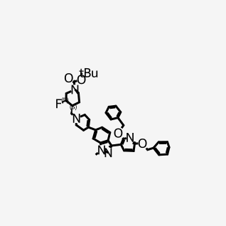 Cn1nc(-c2ccc(OCc3ccccc3)nc2OCc2ccccc2)c2ccc(C3=CCN(C[C@@H]4CCN(C(=O)OC(C)(C)C)C[C@@H]4F)CC3)cc21